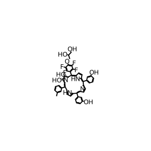 Cc1cccc(-c2c3nc(c(-c4c(F)c(F)c(OCC(O)CO)c(F)c4F)c4ccc([nH]4)c(-c4cccc(O)c4)c4nc(c(-c5cccc(O)c5)c5ccc2[nH]5)C=C4)[C@@H](O)[C@H]3O)c1